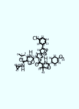 CCC[C@H](NC(=O)[C@@H]1C[C@]2(CC(c3cccc(Cl)c3)=NO2)CN1C(=O)[C@@H](NC(=O)[C@H]1CC[C@H](OC)CC1)C(C)(C)C)C(=O)C(=O)NC1CC1